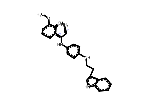 C=c1c(OC)ccc/c1=C(/C=C\N)Nc1ccc(NCCc2c[nH]c3ccccc23)cc1